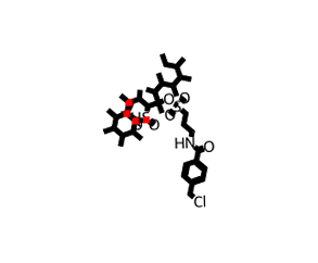 CCC(C)C(C)C(C)C(C)C(C)C(C)(OS(=O)(=O)CCCNC(=O)c1ccc(CCl)cc1)C(C(C)C(C)C(C)C(C)C(C)C(C)C(C)C(C)C(C)C)[SH](=O)=O